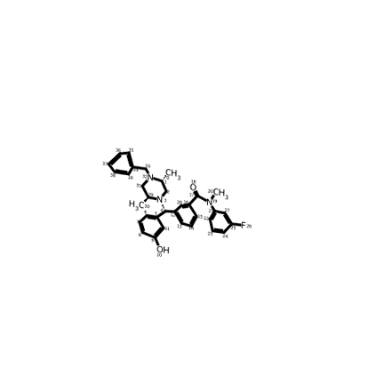 C[C@@H]1CN([C@@H](c2cccc(O)c2)c2cccc(C(=O)N(C)c3cccc(F)c3)c2)[C@@H](C)CN1Cc1ccccc1